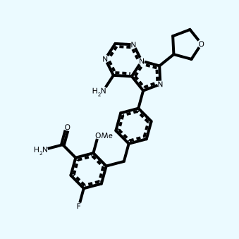 COc1c(Cc2ccc(-c3nc(C4CCOC4)n4ncnc(N)c34)cc2)cc(F)cc1C(N)=O